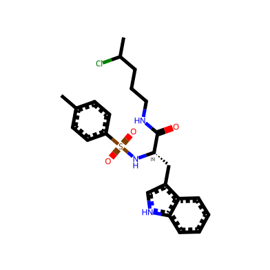 Cc1ccc(S(=O)(=O)N[C@@H](Cc2c[nH]c3ccccc23)C(=O)NCCCC(C)Cl)cc1